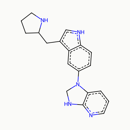 c1cnc2c(c1)N(c1ccc3[nH]cc(CC4CCCN4)c3c1)CN2